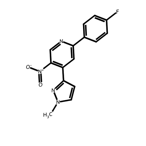 Cn1ccc(-c2cc(-c3ccc(F)cc3)ncc2[N+](=O)[O-])n1